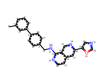 Cc1cccc(-c2ccc(CNc3nccc4cc(-c5cnco5)ncc34)cc2)c1